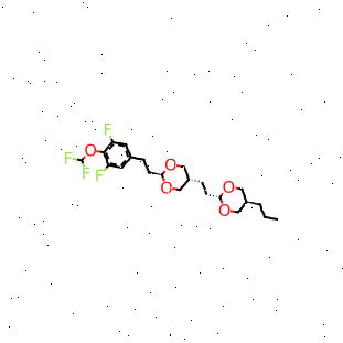 CCC[C@H]1CO[C@H](CC[C@H]2CO[C@H](CCc3cc(F)c(OC(F)F)c(F)c3)OC2)OC1